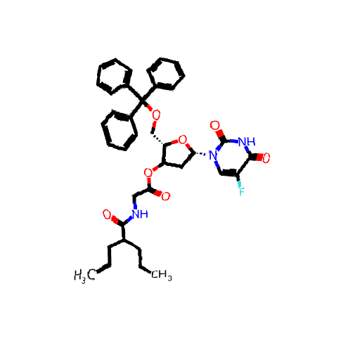 CCCC(CCC)C(=O)NCC(=O)OC1C[C@@H](n2cc(F)c(=O)[nH]c2=O)O[C@H]1COC(c1ccccc1)(c1ccccc1)c1ccccc1